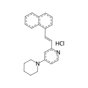 C(=C\c1cccc2ccccc12)/c1cc(N2CCCCC2)ccn1.Cl